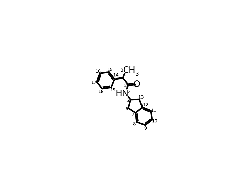 CC(C(=O)NC1Cc2ccccc2C1)c1ccccc1